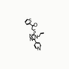 C=CCn1c(SCC(=O)c2cccs2)nnc1-c1ccncc1